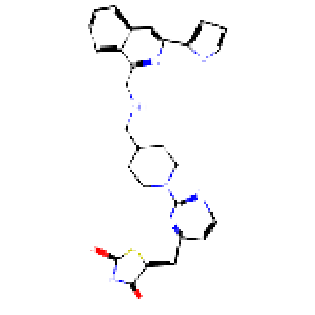 O=C1NC(=O)C(=Cc2ccnc(N3CCC(CNCc4nc(-c5ccc[nH]5)cc5ccccc45)CC3)n2)S1